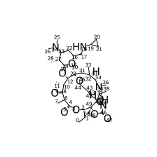 CC[C@H]1OC(=O)C(C)C(=O)[C@H](C)[C@@H](O[C@@H]2O[C@H](CNC3CC3)CC(N(C)C)[C@H]2C)[C@@]2(C)C[C@@H](C)CN(C)[C@H](C)[C@H]3N(C/C=C/CO2)C(=O)O[C@]13C